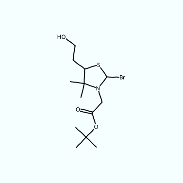 CC(C)(C)OC(=O)CN1C(Br)SC(CCO)C1(C)C